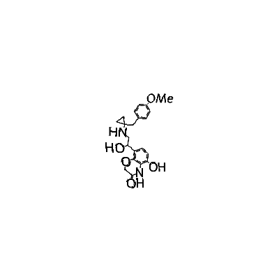 COc1ccc(CC2(NCC(O)c3ccc(O)c4c3OCC(=O)N4)CC2)cc1